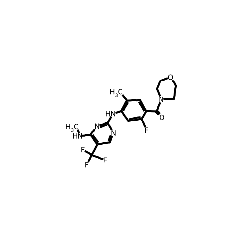 CNc1nc(Nc2cc(F)c(C(=O)N3CCOCC3)cc2C)ncc1C(F)(F)F